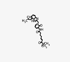 CC(C)CC1=CC=CC2N=C(Cn3cccc(NC(=O)CCC/C=C/C(=O)N(C)C)c3=O)NC12